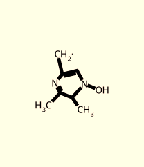 [CH2]C1=CN(O)C(C)C(C)=N1